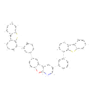 c1cc(-c2ccc3oc4ncc(-c5cccc(-c6cccc7c6sc6ccccc67)c5)cc4c3c2)cc(-c2cccc3c2sc2ccccc23)c1